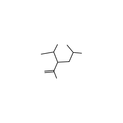 C=C(C)C(CC(C)C)C(C)C